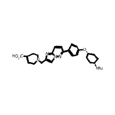 CC(C)(C)[C@H]1CC[C@H](Oc2ccc(-c3ccc4nc(CN5CCC(C(=O)O)CC5)cn4n3)cc2)CC1